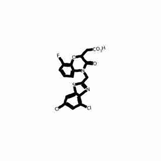 O=C(O)CC1Oc2c(F)cccc2N(Cc2nc3c(Cl)cc(Cl)cc3s2)C1=O